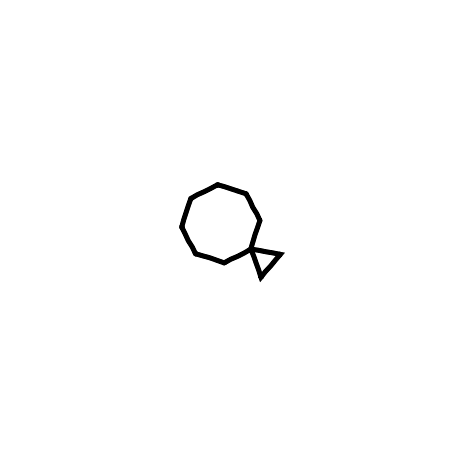 C1CCCC2(CCC1)CC2